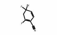 N#CC1=C(F)CC(F)(Br)C=C1